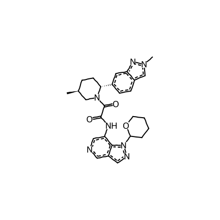 C[C@H]1CC[C@H](c2ccc3cn(C)nc3c2)N(C(=O)C(=O)Nc2cncc3cnn(C4CCCCO4)c23)C1